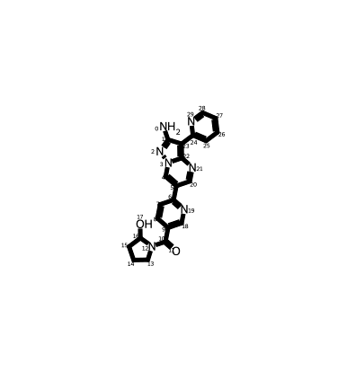 Nc1nn2cc(-c3ccc(C(=O)N4CCCC4O)cn3)cnc2c1-c1ccccn1